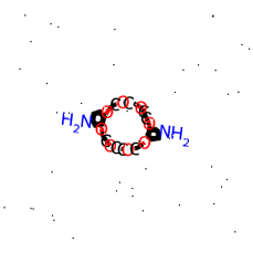 Nc1ccc2c(c1)OCCOCCOCCOc1ccc(N)cc1OCCOCCOCCO2